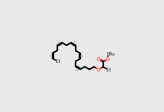 CC/C=C\C/C=C\C/C=C\C/C=C\C/C=C\CCCOC(CC)C(=O)OC(C)(C)C